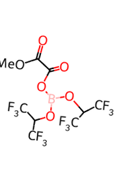 COC(=O)C(=O)OB(OC(C(F)(F)F)C(F)(F)F)OC(C(F)(F)F)C(F)(F)F